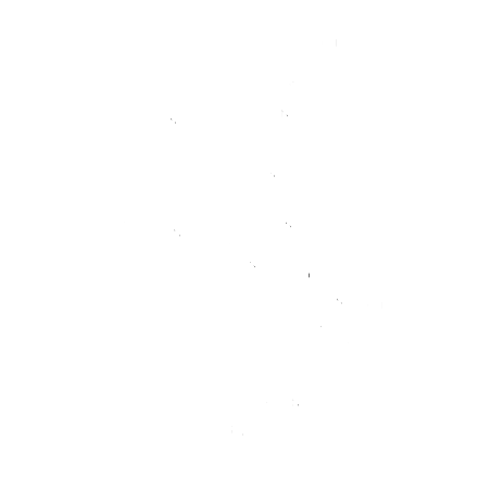 C=CC(=O)N1CCN(c2nc(OCC3(N(C)C)CCC(NC(C)=O)C3)nc3c2CCN(c2ccccc2Cl)C3)C[C@@H]1CC#N